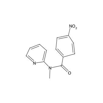 CN(C(=O)c1ccc([N+](=O)[O-])cc1)c1ccccn1